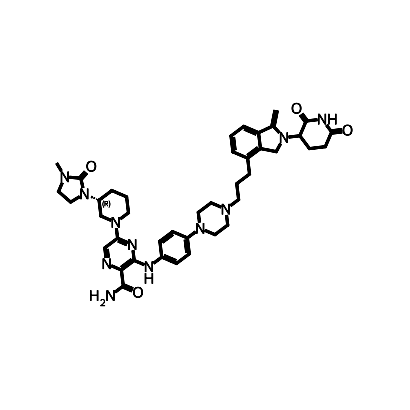 C=C1c2cccc(CCCN3CCN(c4ccc(Nc5nc(N6CCC[C@@H](N7CCN(C)C7=O)C6)cnc5C(N)=O)cc4)CC3)c2CN1C1CCC(=O)NC1=O